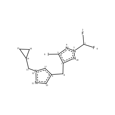 FC(F)n1nc(I)c(Cc2cnn(CC3CC3)c2)n1